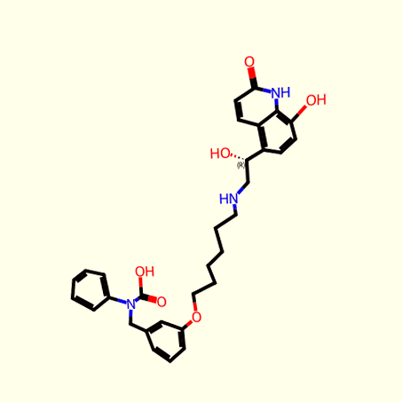 O=C(O)N(Cc1cccc(OCCCCCCNC[C@H](O)c2ccc(O)c3[nH]c(=O)ccc23)c1)c1ccccc1